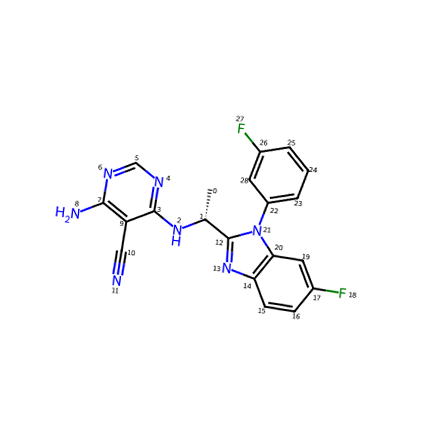 C[C@@H](Nc1ncnc(N)c1C#N)c1nc2ccc(F)cc2n1-c1cccc(F)c1